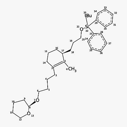 CC1=C(CCCCO[C@@H]2CCCCO2)CCC[C@H]1CCCO[Si](c1ccccc1)(c1ccccc1)C(C)(C)C